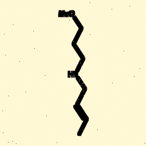 CC=CCNCCCOC